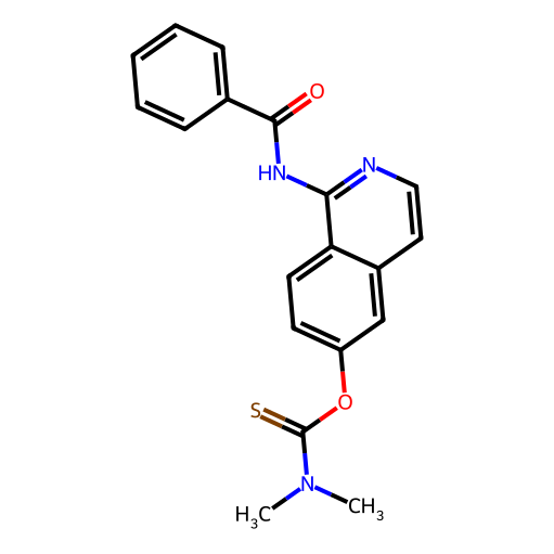 CN(C)C(=S)Oc1ccc2c(NC(=O)c3ccccc3)nccc2c1